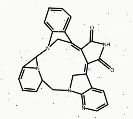 O=C1NC(=O)/C2=C3/CN(CC4C=CC=C5C(N6CC(=C12)c1ccccc16)N54)c1ncccc13